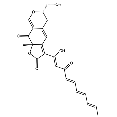 C/C=C/C=C/C=C/C(=O)/C=C(\O)C1=C2C=C3C[C@@H](CO)OC=C3C(=O)[C@@]2(C)OC1=O